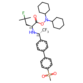 CC(C)(F)C[C@H](N[C@@H](c1ccc(-c2ccc(S(C)(=O)=O)cc2)cc1)C(F)(F)F)C(=O)ON(C1CCCCC1)C1CCCCC1